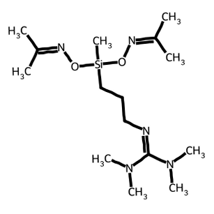 CC(C)=NO[Si](C)(CCCN=C(N(C)C)N(C)C)ON=C(C)C